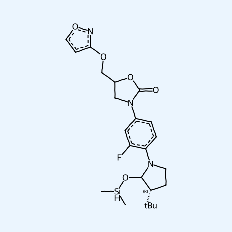 C[SiH](C)OC1[C@@H](C(C)(C)C)CCN1c1ccc(N2CC(COc3ccon3)OC2=O)cc1F